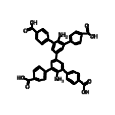 Nc1c(-c2ccc(C(=O)O)cc2)cc(-c2cc(-c3ccc(C(=O)O)cc3)c(N)c(-c3ccc(C(=O)O)cc3)c2)cc1-c1ccc(C(=O)O)cc1